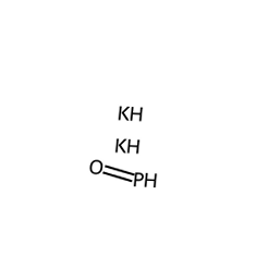 O=P.[KH].[KH]